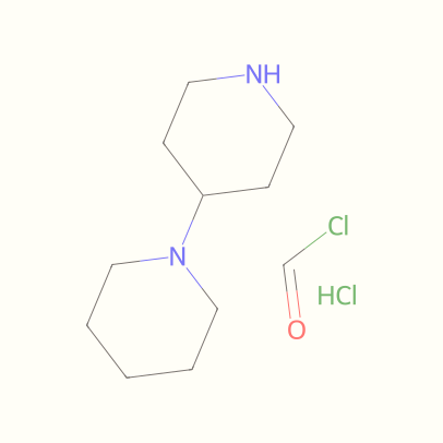 C1CCN(C2CCNCC2)CC1.Cl.O=CCl